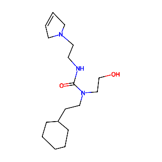 O=C(NCCN1CC=CC1)N(CCO)CCC1CCCCC1